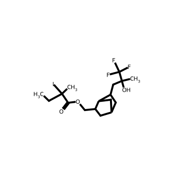 CCC(C)(I)C(=O)OCC1CC2CC(CC(C)(O)C(F)(F)F)C1C2